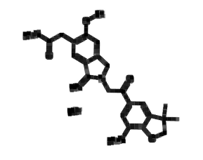 Br.CCOc1cc2c(cc1CC(=O)NC)C(=N)N(CC(=O)c1cc(NC)c3c(c1)C(C)(C)CO3)C2